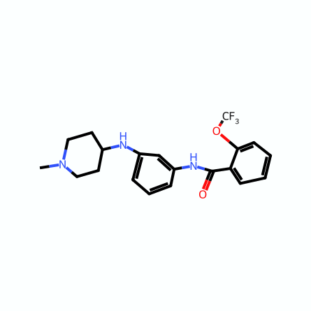 CN1CCC(Nc2cccc(NC(=O)c3ccccc3OC(F)(F)F)c2)CC1